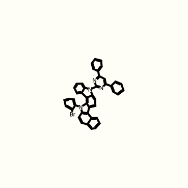 Brc1ccccc1-n1c2ccc3ccccc3c2c2ccc3c(c4ccccc4n3-c3nc(-c4ccccc4)cc(-c4ccccc4)n3)c21